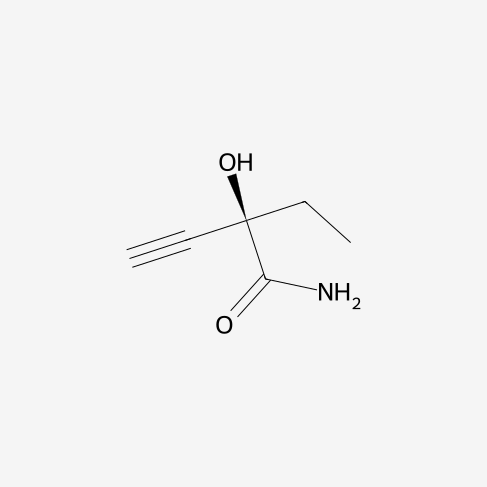 C#C[C@](O)(CC)C(N)=O